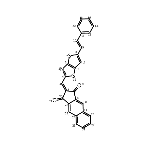 O=C1C(=Cc2nc3sc(/C=C/c4ccccc4)cc3s2)C(=O)c2cc3ccccc3cc21